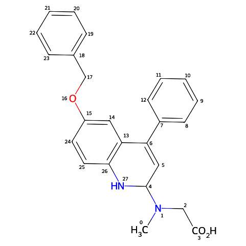 CN(CC(=O)O)C1C=C(c2ccccc2)c2cc(OCc3ccccc3)ccc2N1